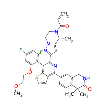 C=CC(=O)N1CCn2nc(-c3nc(-c4ccc5c(c4)CNC(=O)C5(C)C)c4ccsc4c3-c3c(F)cc(F)cc3OCCOC)cc2[C@H]1C